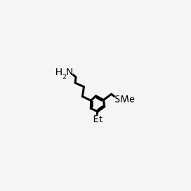 CCc1cc(CCCCN)cc(CSC)c1